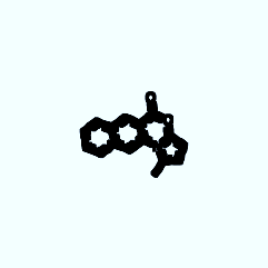 Cc1ccc2oc(=O)c3cc4ccccc4cc3n12